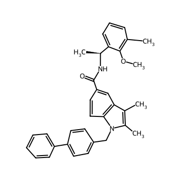 COc1c(C)cccc1[C@H](C)NC(=O)c1ccc2c(c1)c(C)c(C)n2Cc1ccc(-c2ccccc2)cc1